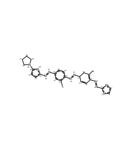 CC1=C(/N=N/c2nccs2)C=CC(/N=N/c2ccc(/N=N/c3ccc(N4CCCC4)s3)cc2C)C1